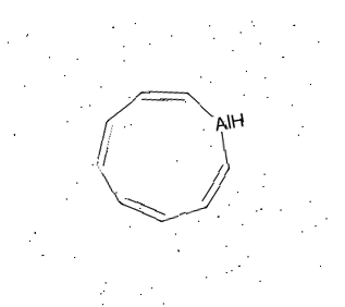 C1=CC=[CH][AlH][CH]=CC=C1